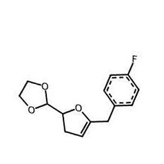 Fc1ccc(CC2=CCC(C3OCCO3)O2)cc1